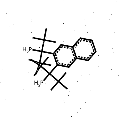 CC(C)(C)C(P)(c1cc2ccccc2cc1C(P)(C(C)(C)C)C(C)(C)C)C(C)(C)C